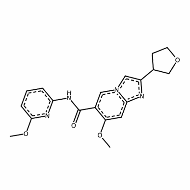 COc1cccc(NC(=O)c2cn3cc(C4CCOC4)nc3cc2OC)n1